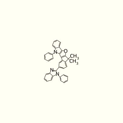 CC1(C)c2ccc(-c3nc4ccccc4n3-c3ccccc3)cc2-c2c1oc1c3ccccc3n(-c3ccccc3)c21